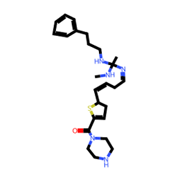 CNC(C)(/N=C\C/C=C\C1CC=C(C(=O)N2CCNCC2)S1)NCCCc1ccccc1